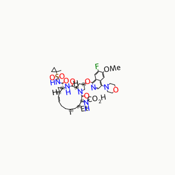 CC[C@@H]1C[C@@H](C)CCC=C[C@@H]2C[C@@]2(C(=O)NS(=O)(=O)C2(C)CC2)NC(=O)[C@@H]2C[C@@H](Oc3ncc(N4CCOCC4)c4cc(OC)c(F)cc34)CN2C(=O)[C@H]1NC(=O)O